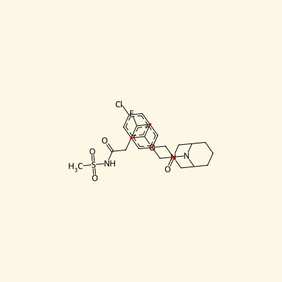 CS(=O)(=O)NC(=O)Cc1cc(Cl)ccc1OCC(=O)N1C2CCCC1CN(Cc1ccc(F)cc1)C2